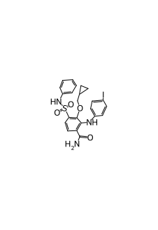 NC(=O)c1ccc(S(=O)(=O)Nc2ccccc2)c(OCC2CC2)c1Nc1ccc(I)cc1